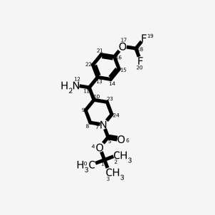 CC(C)(C)OC(=O)N1CCC(C(N)c2ccc(OC(F)F)cc2)CC1